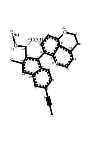 CC#Cc1ccc2c(-c3ccc4c5c(ccnc35)CCO4)c([C@H](OC(C)(C)C)C(=O)O)c(C)cc2c1